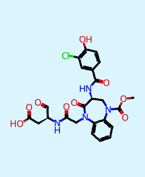 COC(=O)N1C[C@H](NC(=O)c2ccc(O)c(Cl)c2)C(=O)N(CC(=O)N[C@H](C=O)CC(=O)O)c2ccccc21